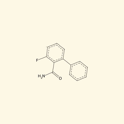 NC(=O)c1c(F)[c]ccc1-c1ccccc1